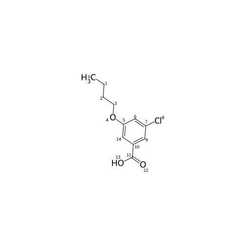 CCCCOc1cc(Cl)cc(C(=O)O)c1